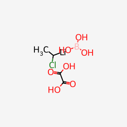 O=C(O)C(=O)O.OB(O)O.[Li][CH](C)Cl